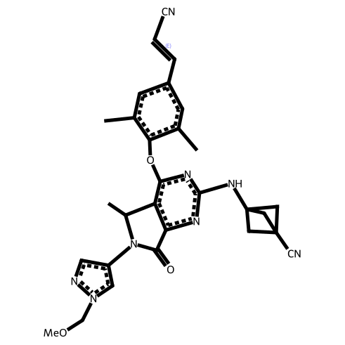 COCn1cc(N2C(=O)c3nc(NC45CC(C#N)(C4)C5)nc(Oc4c(C)cc(/C=C/C#N)cc4C)c3C2C)cn1